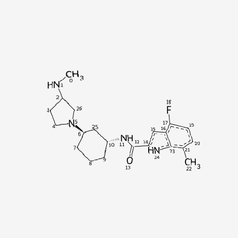 CNC1CCN([C@@H]2CCC[C@@H](NC(=O)c3cc4c(F)ccc(C)c4[nH]3)C2)C1